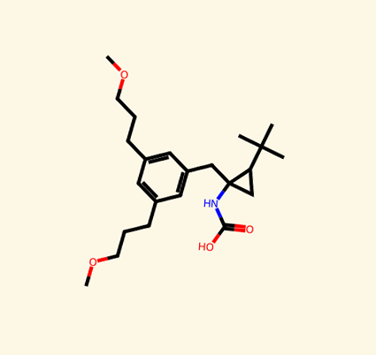 COCCCc1cc(CCCOC)cc(CC2(NC(=O)O)CC2C(C)(C)C)c1